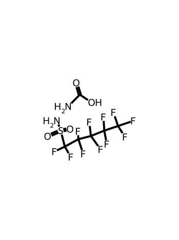 NC(=O)O.NS(=O)(=O)C(F)(F)C(F)(F)C(F)(F)C(F)(F)C(F)(F)F